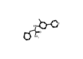 Cc1cc(-c2ccncc2)ccc1NC(Cc1ccccc1)C(N)=O